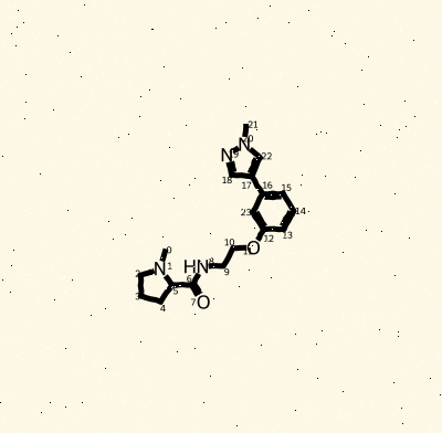 CN1CCCC1C(=O)NCCOc1c[c]cc(-c2cnn(C)c2)c1